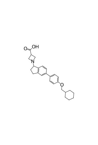 O=C(O)C1CN(C2CCc3cc(-c4ccc(OCC5CCCCC5)cc4)ccc32)C1